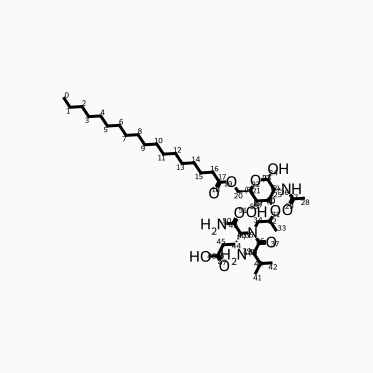 CCCCCCCCCCCCCCCCCC(=O)OC[C@H]1O[C@H](O)[C@H](NC(C)=O)[C@@H](OC(C)CN(C(=O)[C@@H](N)C(C)C)[C@H](CCC(=O)O)C(N)=O)[C@@H]1O